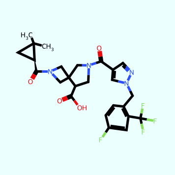 CC1(C)C[C@@H]1C(=O)N1CC2(CN(C(=O)c3cnn(Cc4ccc(F)cc4C(F)(F)F)c3)CC2C(=O)O)C1